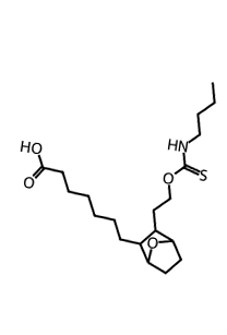 CCCCNC(=S)OCCC1C2CCC(O2)C1CCCCCCC(=O)O